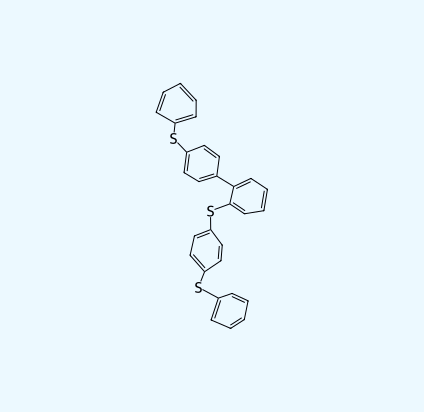 c1ccc(Sc2ccc(Sc3ccccc3-c3ccc(Sc4ccccc4)cc3)cc2)cc1